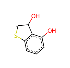 Oc1cccc2c1C(O)[C]S2